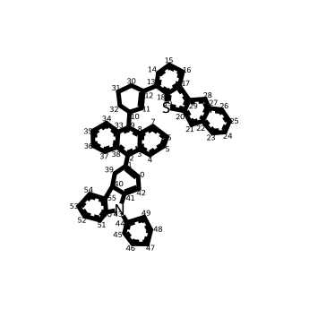 C1=C(c2c3ccccc3c(C3C=C(c4cccc5c4sc4cc6ccccc6cc45)CCC3)c3ccccc23)CC2C(=C1)N(c1ccccc1)c1ccccc12